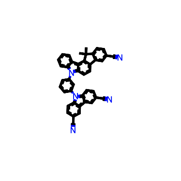 CC1(C)c2ccc(C#N)cc2-c2ccc3c(c21)c1ccccc1n3-c1cccc(-n2c3ccc(C#N)cc3c3cc(C#N)ccc32)c1